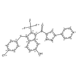 O=C(c1nnc(-c2ccncc2)o1)c1c(C(F)(F)F)n(Cc2ccc(Cl)cc2)c2ccc(O)cc12